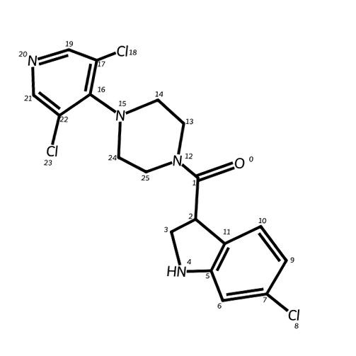 O=C(C1CNc2cc(Cl)ccc21)N1CCN(c2c(Cl)cncc2Cl)CC1